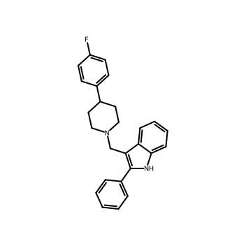 Fc1ccc(C2CCN(Cc3c(-c4ccccc4)[nH]c4ccccc34)CC2)cc1